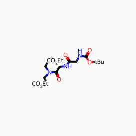 CCOC(=O)CN(CC(=O)OCC)C(=O)CNC(=O)CNC(=O)OC(C)(C)C